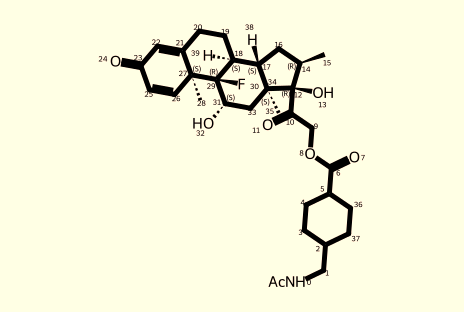 CC(=O)NCC1CCC(C(=O)OCC(=O)[C@@]2(O)[C@H](C)C[C@H]3[C@@H]4CCC5=CC(=O)C=C[C@]5(C)[C@@]4(F)[C@@H](O)C[C@@]32C)CC1